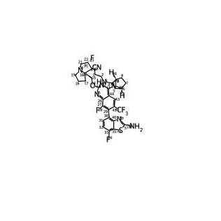 N#CCCNC1C[C@H]2CC[C@@H]1N2c1nc(OC[C@@]23CCCN2C[C@H](F)C3)nc2c(F)c(-c3ccc(F)c4sc(N)nc34)c(C(F)(F)F)cc12